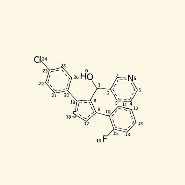 OC(c1cccnc1)c1c(-c2ccccc2F)csc1-c1ccc(Cl)cc1